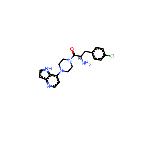 N[C@H](Cc1ccc(Cl)cc1)C(=O)N1CCN(c2ccnc3cc[nH]c23)CC1